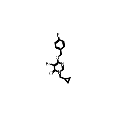 O=c1c(Br)c(OCc2ccc(F)cc2)ncn1CC1CC1